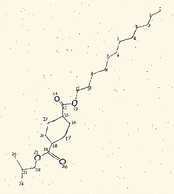 CCCCCCCCCCCCOC(=O)C1CCC(C(=O)OCC(C)C)CC1